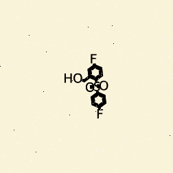 O=S(=O)(c1ccc(F)cc1)c1ccc(F)cc1CO